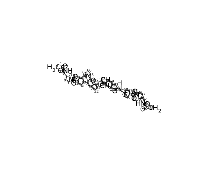 C=CS(=O)(=O)NCC1CCN(S(=O)(=O)c2ccc(C(Cc3cccc(CC(C)(C)c4ccc(CC(=O)NCc5ccc(S(=O)(=O)N6CC[C@H](CNS(=O)(=O)C=C)C6)cc5)cc4)c3)C(=O)N3CCCC3)cc2)C1